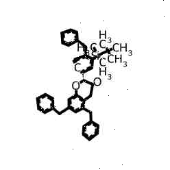 CC(C)(C)[Si](C)(C)c1cc([C@H]2Oc3cc(Cc4ccccc4)cc(Cc4ccccc4)c3CC2=O)ccc1Cc1ccccc1